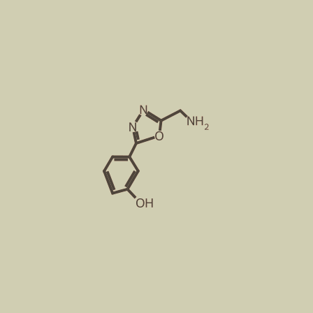 NCc1nnc(-c2cccc(O)c2)o1